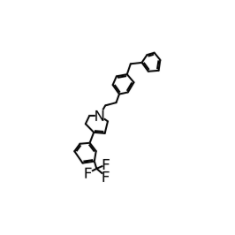 FC(F)(F)c1cccc(C2=CCN(CCc3ccc(Cc4ccccc4)cc3)CC2)c1